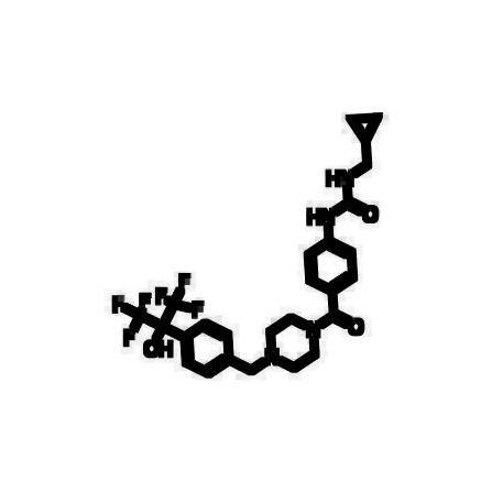 O=C(NCC1CC1)Nc1ccc(C(=O)N2CCN(Cc3ccc(C(O)(C(F)(F)F)C(F)(F)F)cc3)CC2)cc1